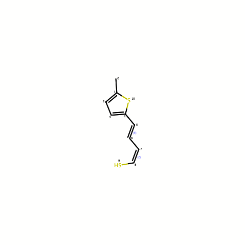 Cc1ccc(/C=C/C=C\S)s1